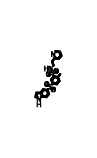 Cc1ccc(S(=O)(=O)c2ccc3[nH]ccc3c2)cc1S(=O)(=O)NCCc1ccccn1